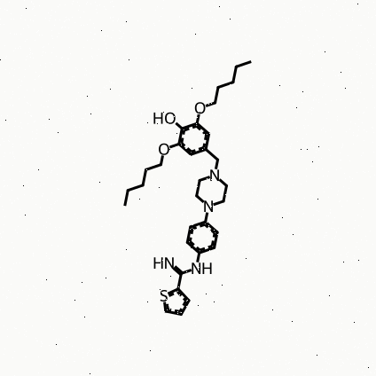 CCCCCOc1cc(CN2CCN(c3ccc(NC(=N)c4cccs4)cc3)CC2)cc(OCCCCC)c1O